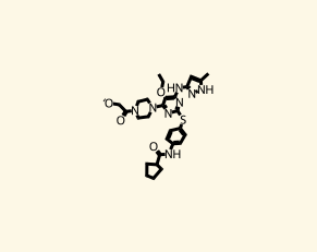 CCOc1c(Nc2cc(C)[nH]n2)nc(Sc2ccc(NC(=O)C3CCCC3)cc2)nc1N1CCN(C(=O)COC)CC1